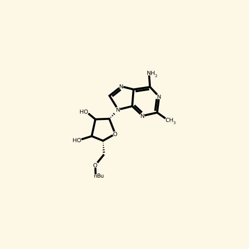 CCCCOC[C@H]1O[C@@H](n2cnc3c(N)nc(C)nc32)C(O)C1O